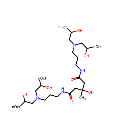 CCCCCCCCC(O)CN(CCCNC(=O)CC(C)(O)CC(=O)NCCCN(CC(O)CCCCCCCC)CC(O)CCCCCCCC)CC(O)CCCCCCCC